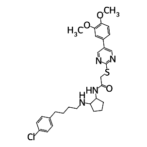 COc1ccc(-c2cnc(SCC(=O)NC3CCCC3NCCCCc3ccc(Cl)cc3)nc2)cc1OC